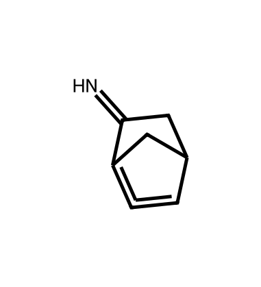 N=C1CC2C=C=C1C2